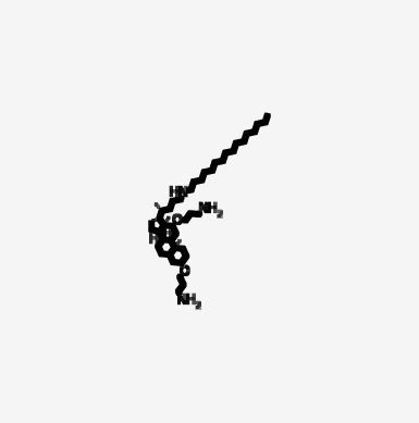 CCCCCCCCCCCCCCCCNCCC[C@@H](C)[C@H]1CC[C@H]2C3CCC4C[C@H](OCCCN)CC[C@]4(C)[C@H]3C[C@H](OCCCN)[C@]12C